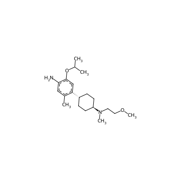 COCCN(C)[C@H]1CC[C@H](c2cc(OC(C)C)c(N)cc2C)CC1